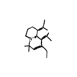 CCC1=CC(C)(C)[N+]2=C(C(=C(C)C)CCC2)C1=C(C)C